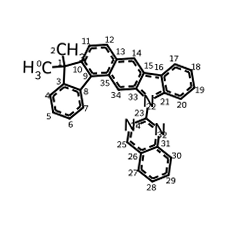 CC1(C)c2ccccc2-c2c1ccc1cc3c4ccccc4n(-c4ncc5ccccc5n4)c3cc21